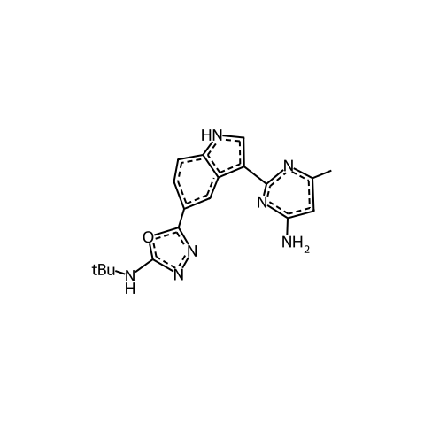 Cc1cc(N)nc(-c2c[nH]c3ccc(-c4nnc(NC(C)(C)C)o4)cc23)n1